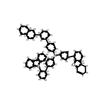 C1=Cc2oc3c(-c4ccc(N(c5ccc(-c6cccc(-c7ccc8ccccc8c7)c6)cc5)c5ccc(-c6ccccc6-n6c7ccccc7c7ccccc76)cc5)cc4)cccc3c2CC1